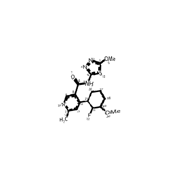 COc1nnc(NC(=O)c2cnc(C)cc2C2CCCC(OC)C2F)s1